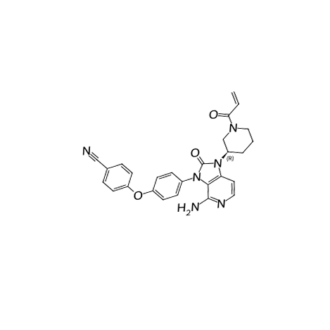 C=CC(=O)N1CCC[C@@H](n2c(=O)n(-c3ccc(Oc4ccc(C#N)cc4)cc3)c3c(N)nccc32)C1